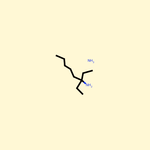 CCCCCC(N)(CC)CC.N